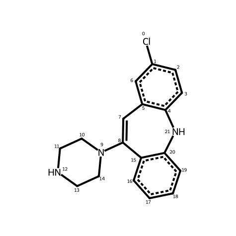 Clc1ccc2c(c1)C=C(N1CCNCC1)c1ccccc1N2